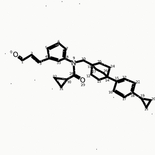 O=C/C=C/c1cccc(N(CC23CCC(c4ccc(C5CC5)cc4)(CC2)CC3)C(=O)C2CC2)c1